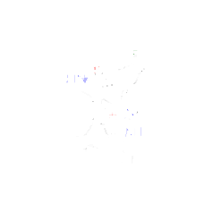 C[C@H](Nc1nc2c3ccc(F)cc3c3c(=O)[nH]ccc3c2o1)c1ccccc1